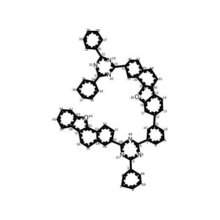 c1ccc(-c2nc(-c3cccc(-c4ccc5c(c4)oc4c6cc(-c7nc(-c8ccccc8)nc(-c8ccccc8)n7)ccc6ccc54)c3)nc(-c3ccc4c(ccc5c6ccccc6oc45)c3)n2)cc1